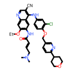 CCOc1cc2ncc(C#N)c(Nc3ccc(OCc4ccc(C5CCOCC5)nc4)c(Cl)c3)c2cc1NC(=O)/C=C/CN(C)C